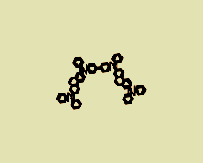 c1ccc(N(c2ccccc2)c2ccc3c(ccc4cc(N(c5ccccc5)c5ccc(-c6ccc(N(c7ccccc7)c7ccc8c(ccc9cc(N(c%10ccccc%10)c%10ccccc%10)ccc98)c7)cc6)cc5)ccc43)c2)cc1